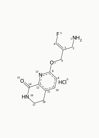 Cl.NCC(=CF)COc1ccc2c(n1)C(=O)NCC2